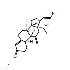 C=C1C[C@@]2(CC)[C@@H](CC[C@@]2(O)/C=C/Br)[C@@H]2CCC3=CC(=O)CC[C@@H]3[C@@H]12